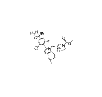 COC(=O)N1CCO[C@@H](Cn2c(-c3c(F)cc(S(=N)(N)=O)cc3Cl)nc3cc(C)ccc32)C1